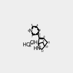 C1=C(c2cccnc2)C2CC(C1)CN2.Cl.Cl